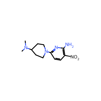 CN(C)C1CCN(c2ccc([N+](=O)[O-])c(N)n2)CC1